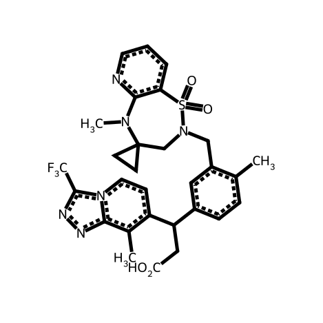 Cc1ccc(C(CC(=O)O)c2ccn3c(C(F)(F)F)nnc3c2C)cc1CN1CC2(CC2)N(C)c2ncccc2S1(=O)=O